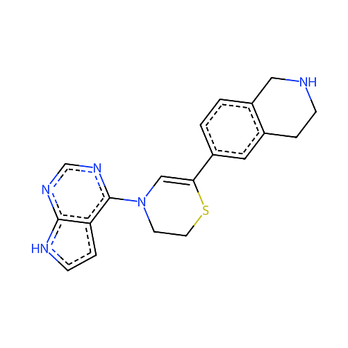 C1=C(c2ccc3c(c2)CCNC3)SCCN1c1ncnc2[nH]ccc12